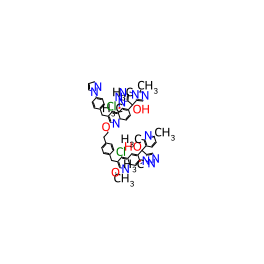 COc1nc2ccc(C(O)(c3ccc(C)nc3C)c3cnnn3C)cc2c(Cl)c1Cc1ccc(CCOc2nc3ccc(C(O)(c4cnnn4C)c4cnc(C)n4C)cc3c(Cl)c2Cc2ccc(-n3cccn3)cc2)cc1